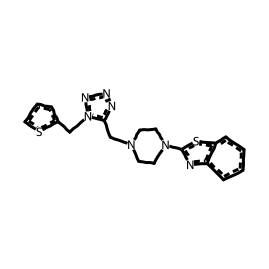 c1csc(Cn2nnnc2CN2CCN(c3nc4ccccc4s3)CC2)c1